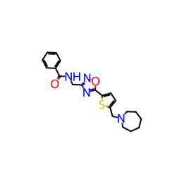 O=C(NCc1noc(-c2ccc(CN3CCCCCC3)s2)n1)c1ccccc1